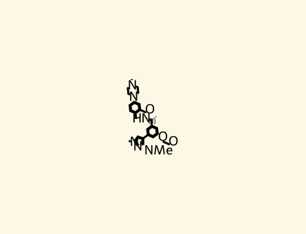 CNC(=O)COc1cc(-c2cnn(C)c2)cc([C@@H](C)NC(=O)c2cc(N3CCN(C)CC3)ccc2C)c1